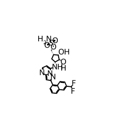 NS(=O)(=O)OC[C@H]1C[C@@H](Nc2ccnc3cc(-c4cccc5cc(C(F)F)ccc45)nn23)[C@H](O)[C@@H]1O